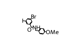 COc1ccc(CNC(=O)c2cc(Br)cc(I)c2)cc1